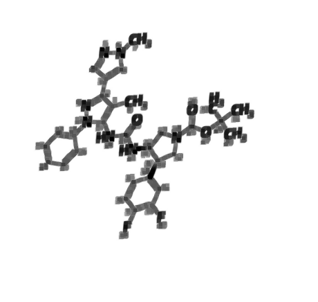 Cc1c(-c2cnn(C)c2)nn(-c2ccccc2)c1NC(=O)N[C@H]1CN(C(=O)OC(C)(C)C)C[C@H]1c1ccc(F)c(F)c1